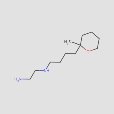 NCCNCCCCC1([SiH3])CCCCO1